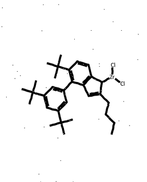 CCCCC1=Cc2c(ccc(C(C)(C)C)c2-c2cc(C(C)(C)C)cc(C(C)(C)C)c2)[CH]1[Zr]([Cl])[Cl]